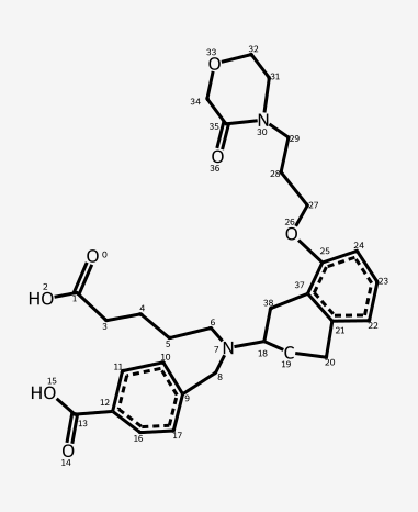 O=C(O)CCCCN(Cc1ccc(C(=O)O)cc1)C1CCc2cccc(OCCCN3CCOCC3=O)c2C1